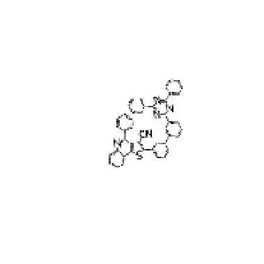 N#Cc1c(-c2cccc(-c3cccc(-c4nc(-c5ccccc5)nc(-c5ccccc5)n4)c3)c2)sc2c1c(-c1ccccc1)nc1ccccc12